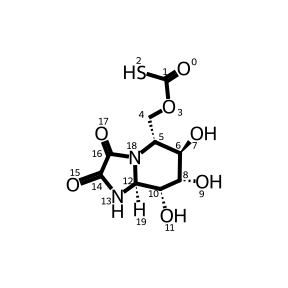 O=C(S)OC[C@@H]1[C@@H](O)[C@H](O)[C@H](O)[C@H]2NC(=O)C(=O)N12